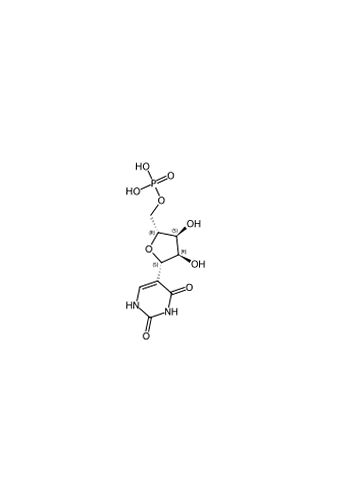 O=c1[nH]cc([C@@H]2O[C@H](COP(=O)(O)O)[C@@H](O)[C@H]2O)c(=O)[nH]1